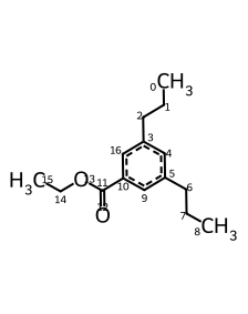 CCCc1cc(CCC)cc(C(=O)OCC)c1